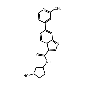 Cc1cc(-c2ccn3c(C(=O)NC4CCN(C#N)C4)cnc3c2)ccn1